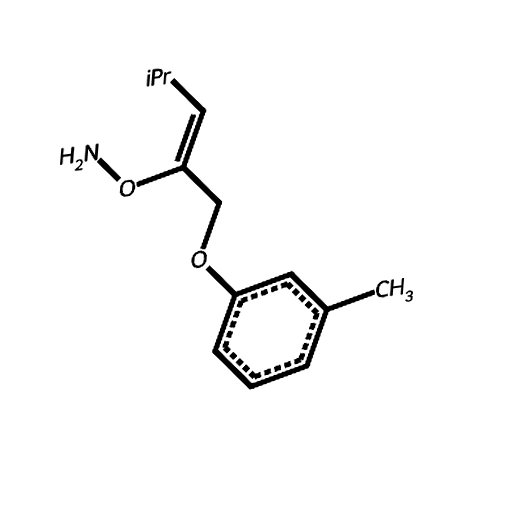 Cc1cccc(OC/C(=C/C(C)C)ON)c1